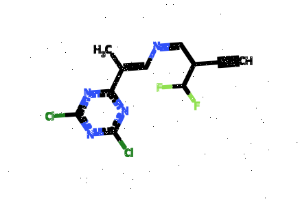 C#CC(/C=N\C=C(/C)c1nc(Cl)nc(Cl)n1)C(F)F